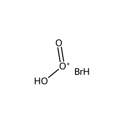 Br.O=[O+]O